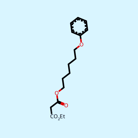 CCOC(=O)CC(=O)OCCCCCCOc1ccccc1